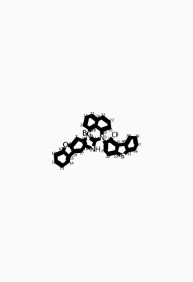 Clc1c(N(c2nc3cc4oc5ccccc5c4cc3[nH]2)c2cccc3cccc(Br)c23)ccc2sc3ccccc3c12